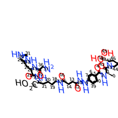 C[C@@H](NC(=O)c1ccc(NNC(=O)CCC(=O)NCCCC[C@H](NC(=O)C(Cc2c[nH]cn2)NC(=O)CN)C(=O)O)cc1)C(=O)N1CCC[C@H]1B(O)O